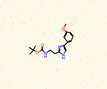 COc1cccc(-c2c[nH]c(CCNC(=O)OC(C)(C)C)n2)c1